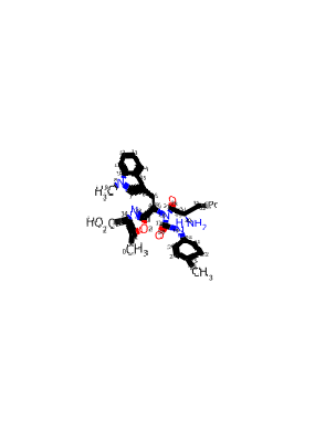 Cc1oc([C@@H](Cc2cn(C)c3ccccc23)N(C(=O)NC2CCC(C)CC2)C(=O)[C@@H](N)CC(C)C)nc1C(=O)O